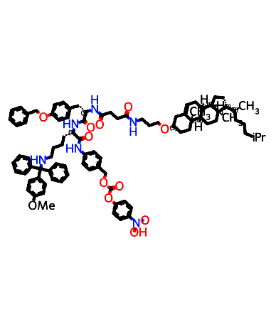 COc1ccc(C(NCCCC[C@H](NC(=O)[C@H](Cc2ccc(OCc3ccccc3)cc2)NC(=O)CCC(=O)NCCCO[C@H]2CC[C@@]3(C)C(=CC[C@H]4[C@@H]5CC[C@H]([C@H](C)CCCC(C)C)[C@@]5(C)CC[C@@H]43)C2)C(=O)Nc2ccc(COC(=O)Oc3ccc([N+](=O)O)cc3)cc2)(c2ccccc2)c2ccccc2)cc1